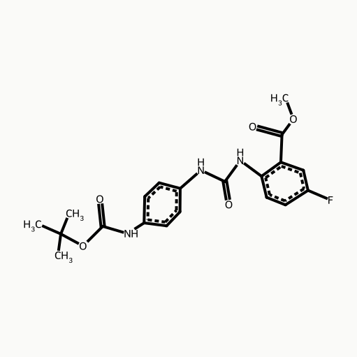 COC(=O)c1cc(F)ccc1NC(=O)Nc1ccc(NC(=O)OC(C)(C)C)cc1